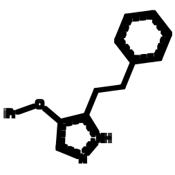 CC(C)Oc1cn[nH]c1CCc1ccccc1